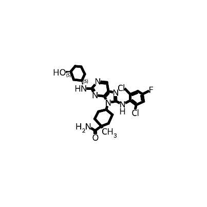 CC1(C(N)=O)CCC(n2c(Nc3c(Cl)cc(F)cc3Cl)nc3cnc(N[C@H]4CCC[C@H](O)C4)nc32)CC1